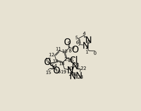 CCn1nccc1OC(=O)c1ccc(S(C)(=O)=O)c(Cn2ncnn2)c1Cl